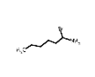 CCCCCC(N)Br